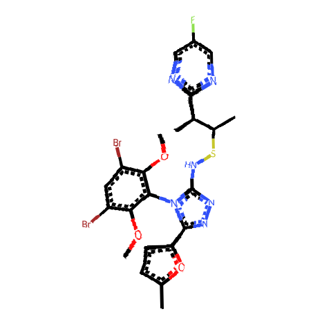 COc1c(Br)cc(Br)c(OC)c1-n1c(NSC(C)C(C)c2ncc(F)cn2)nnc1-c1ccc(C)o1